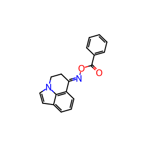 O=C(O/N=C1\CCn2ccc3cccc1c32)c1ccccc1